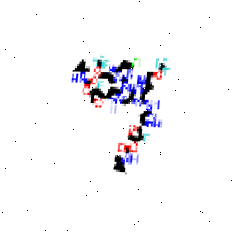 CC1(NC(=O)O[C@H]2CO[C@@H](c3cc(Nc4nc(C[n+]5[nH]c([C@@H]6OC[C@H](OC(=O)NC7(C)CC7)[C@@H]6F)cc5Nc5nc(Cl)cc6nc(COC(F)(F)F)cn56)cn5nc(COC(F)(F)F)cc45)n[nH]3)[C@H]2F)CC1